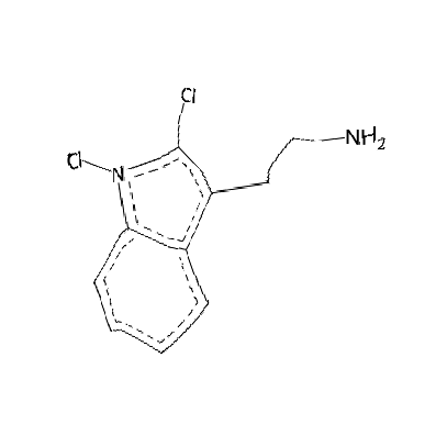 NCCc1c(Cl)n(Cl)c2ccccc12